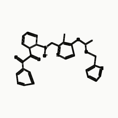 Cc1c(OC(C)OCc2ccccn2)ccnc1C[S+]([O-])C1C=CC=CC1C(=O)C(=O)c1ccccc1